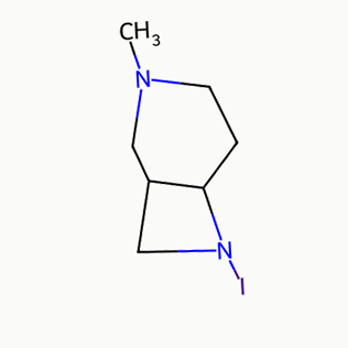 CN1CCC2C(C1)CN2I